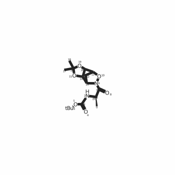 C[C@@H](NC(=O)OC(C)(C)C)C(=O)N1OC2CC1C1OC(C)(C)OC21